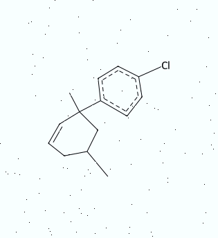 CC1CC=CC(C)(c2ccc(Cl)cc2)C1